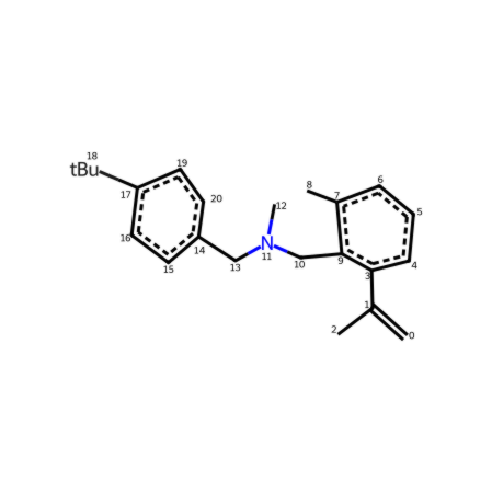 C=C(C)c1cccc(C)c1CN(C)Cc1ccc(C(C)(C)C)cc1